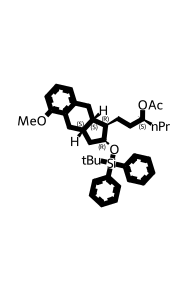 CCC[C@@H](CC[C@@H]1[C@H]2Cc3cccc(OC)c3C[C@H]2C[C@H]1O[Si](c1ccccc1)(c1ccccc1)C(C)(C)C)OC(C)=O